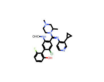 CC1CN(C)CCN1/C(=N/c1ccncc1C1CC1)c1cc(Cl)c(-c2c(O)cccc2F)cc1NC=O